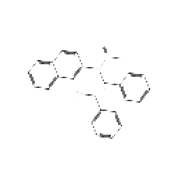 NC(c1ccccc1)[C@@H](c1ccccc1)N(c1ccc2ccccc2c1)S(=O)O